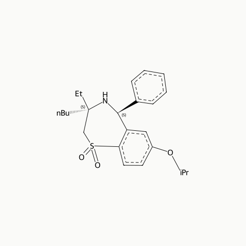 CCCC[C@@]1(CC)CS(=O)(=O)c2ccc(OC(C)C)cc2[C@H](c2ccccc2)N1